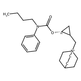 CCCCN(C(=O)O[C@@H]1CC1C[N+]12CCC(CC1)CC2)c1ccccc1